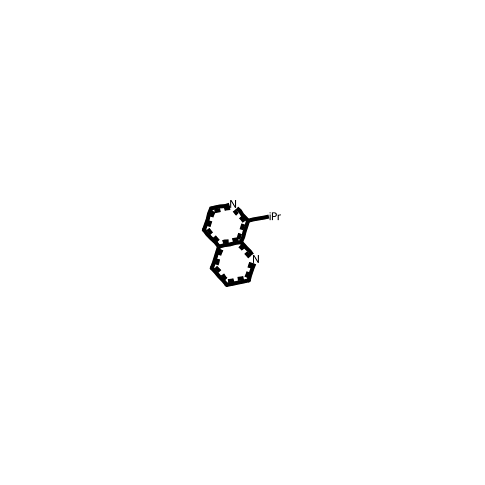 CC(C)c1nccc2cccnc12